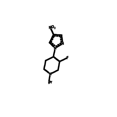 CC(C)N1CCC(n2cc([N+](=O)[O-])cn2)C(F)C1